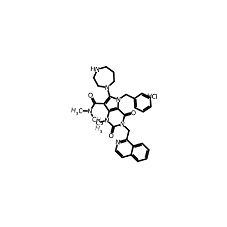 CN(C)C(=O)c1c(N2CCCNCC2)n(Cc2ccccc2)c2c(=O)n(Cc3nccc4ccccc34)c(=O)n(C)c12.Cl